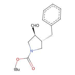 CC(C)(C)OC(=O)N1C[C@@H](Cc2ccccc2)[C@H](C=O)C1